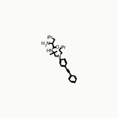 CC(C)CCN(CC(C)(C)NC(=O)C(N)CC(C)C)c1ccc(C#Cc2ccccc2)cc1